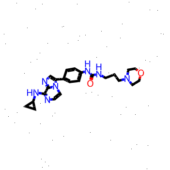 O=C(NCCCN1CCOCC1)Nc1ccc(-c2cnc3c(NC4CC4)nccn23)cc1